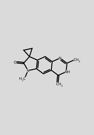 C=C1NC(C)=Nc2cc3c(cc21)N(C)C(=O)C31CC1